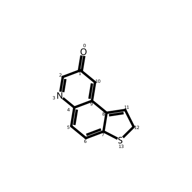 O=C1C=Nc2ccc3c(c2=C1)=CCS3